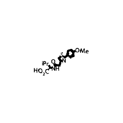 COc1ccc(-c2nc(CC(=O)N[C@H](C(=O)O)C(C)C)cs2)cc1